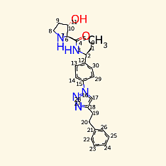 CC[C@H](NC(=O)[C@H]1NCC[C@@H]1O)c1ccc(-n2cc(CCc3ccccc3)nn2)cc1